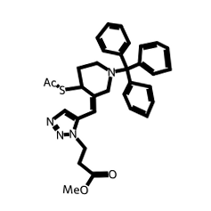 COC(=O)CCn1nncc1C=C1CN(C(c2ccccc2)(c2ccccc2)c2ccccc2)CCC1SC(C)=O